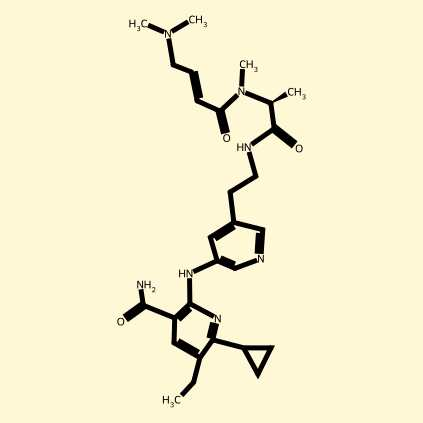 CCc1cc(C(N)=O)c(Nc2cncc(CCNC(=O)[C@H](C)N(C)C(=O)/C=C/CN(C)C)c2)nc1C1CC1